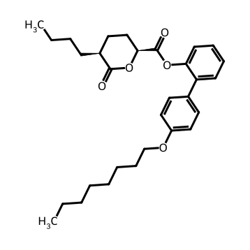 CCCCCCCCOc1ccc(-c2ccccc2OC(=O)[C@@H]2CC[C@H](CCCC)C(=O)O2)cc1